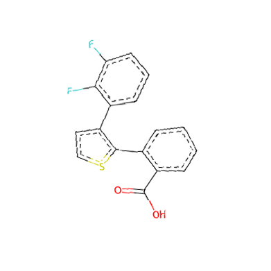 O=C(O)c1ccccc1-c1sccc1-c1cccc(F)c1F